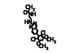 C=CC(=O)NCCNc1ncc2cc(-c3c(Cl)c(OC)cc(OC)c3Cl)ccc2n1